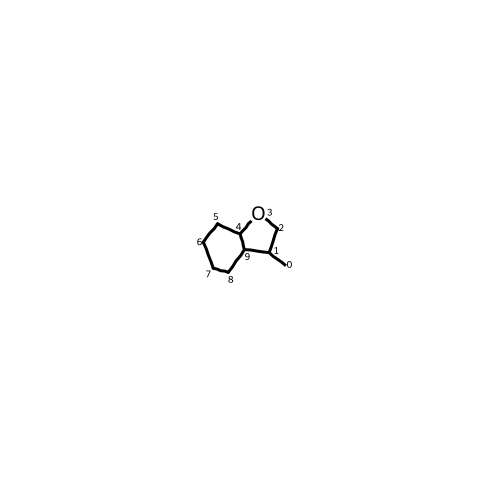 CC1COC2CCCCC12